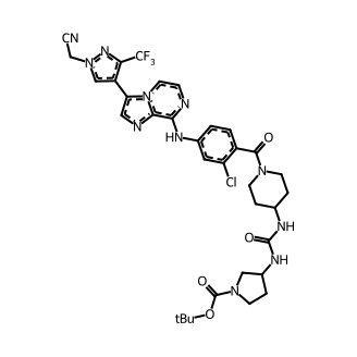 CC(C)(C)OC(=O)N1CCC(NC(=O)NC2CCN(C(=O)c3ccc(Nc4nccn5c(-c6cn(CC#N)nc6C(F)(F)F)cnc45)cc3Cl)CC2)C1